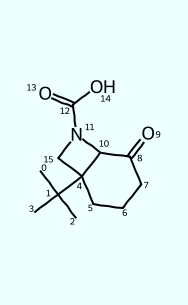 CC(C)(C)C12CCCC(=O)C1N(C(=O)O)C2